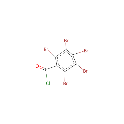 O=C(Cl)c1c(Br)c(Br)c(Br)c(Br)c1Br